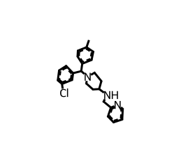 Cc1ccc(C(c2cccc(Cl)c2)N2CCC(NCc3ccccn3)CC2)cc1